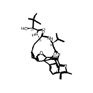 Cc1nc(-c2nc3oc2C24c5ccccc5NC2Oc2ccc(cc24)C[C@H](NC(=O)[C@@H](O)C(C)(C)C)C(=O)N[C@H]3C(C)C)oc1C